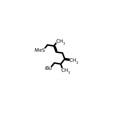 C=C(CC=C(C)CSC)C(C)CC(C)CC